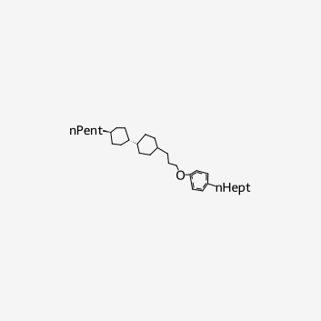 CCCCCCCc1ccc(OCCCC2CCC([C@H]3CC[C@H](CCCCC)CC3)CC2)cc1